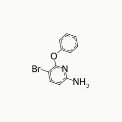 Nc1ccc(Br)c(Oc2ccccc2)n1